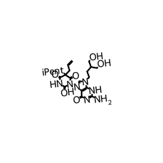 C=CCC1(C(C)CCC)C(=O)NC(=O)NC1=O.Nc1nc(=O)c2ncn(CCC(CO)CO)c2[nH]1